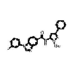 CC(C)(C)n1nc(-c2ccccc2)cc1NC(=O)c1ccc2c(c1)ncn2-c1cccc(F)c1